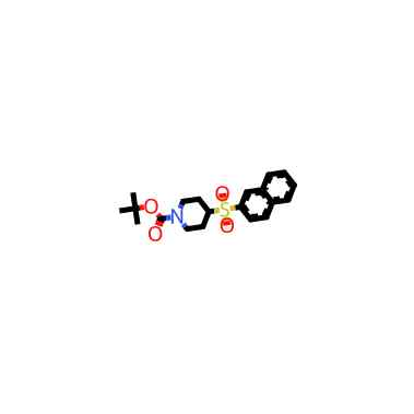 CC(C)(C)OC(=O)N1CCC(S(=O)(=O)c2ccc3ccccc3c2)CC1